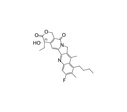 CCCCc1c(C)c(F)cc2nc3c(c(C)c12)Cn1c-3cc2c(c1=O)COC(=O)[C@]2(O)CC